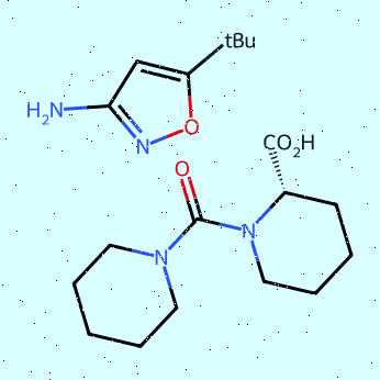 CC(C)(C)c1cc(N)no1.O=C(O)[C@@H]1CCCCN1C(=O)N1CCCCC1